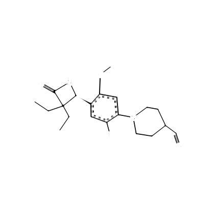 CCC1(CC)C(=O)N[C@H]1c1cc(F)c(N2CCC(C=O)CC2)cc1OC